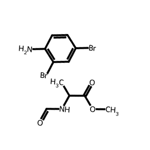 COC(=O)C(C)NC=O.Nc1ccc(Br)cc1Br